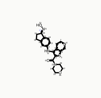 O=C(c1sc2cnccc2c1Nc1ccc2c(c1)CC/C2=N\O)N1CCOCC1